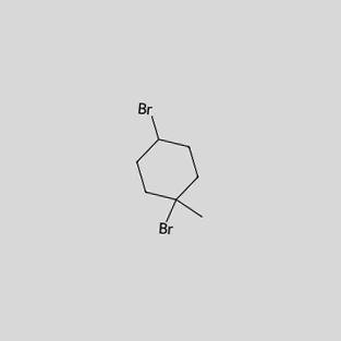 CC1(Br)CCC(Br)CC1